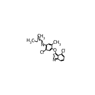 CCN(C)C=Nc1cc(C)c(Oc2snc3cccc(Cl)c23)cc1Cl